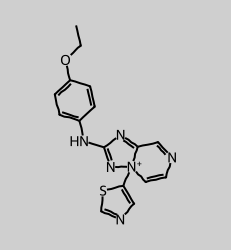 CCOc1ccc(NC2=N[N+]3(c4cncs4)C=CN=CC3=N2)cc1